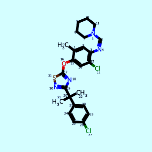 Cc1cc(/N=C\N2CCCCC2)c(Cl)cc1Oc1nc(C(C)(C)c2ccc(Cl)cc2)ns1